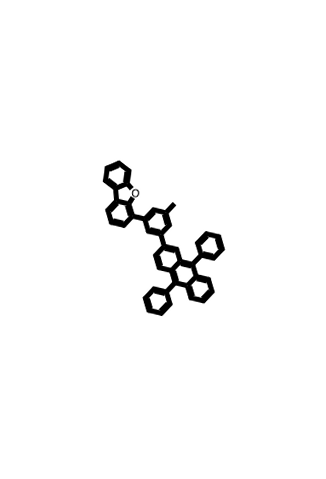 Cc1cc(-c2ccc3c(-c4ccccc4)c4ccccc4c(-c4ccccc4)c3c2)cc(-c2cccc3c2oc2ccccc23)c1